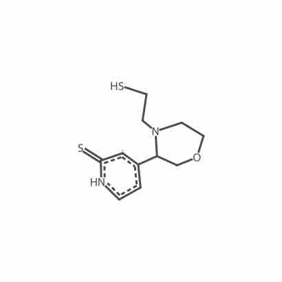 S=c1[c]c(C2COCCN2CCS)cc[nH]1